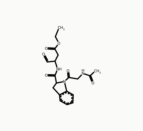 CCOC(=O)CC(C=O)NC(=O)C1Cc2ccccc2N1C(=O)CNC(C)=O